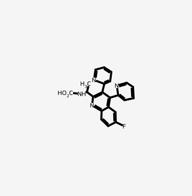 CC(NC(=O)O)c1nc2ccc(F)cc2c(-c2ccccn2)c1-c1ccccn1